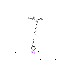 C[C@H](CCCCCCCCCCCCc1ccc([123I])cc1)CC(=O)O